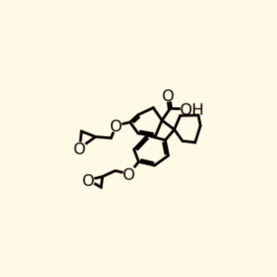 O=C(O)C1(C2(c3ccc(OCC4CO4)cc3)CCCCC2)C=CC(OCC2CO2)=CC1